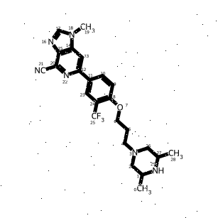 CC1CN(CCCOc2ccc(-c3cc4c(ncn4C)c(C#N)n3)cc2C(F)(F)F)CC(C)N1